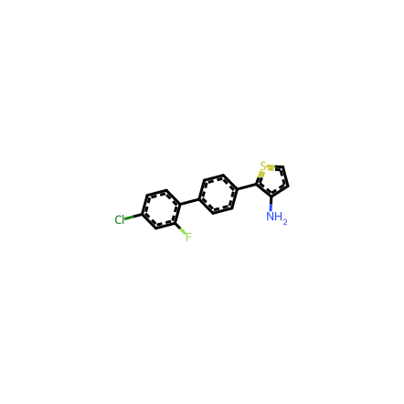 Nc1ccsc1-c1ccc(-c2ccc(Cl)cc2F)cc1